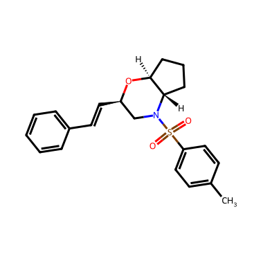 Cc1ccc(S(=O)(=O)N2C[C@@H](/C=C/c3ccccc3)O[C@H]3CCC[C@@H]32)cc1